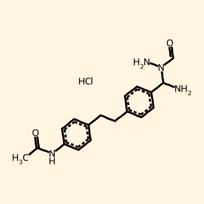 CC(=O)Nc1ccc(CCc2ccc(C(N)N(N)C=O)cc2)cc1.Cl